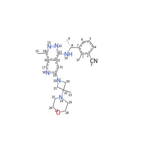 Cc1c(C#N)cccc1[C@@H](C)Nc1nnc(C)c2cnc(N3CC(C)(N4CCOCC4)C3)cc12